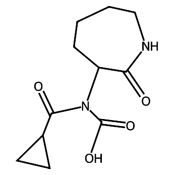 O=C1NCCCCC1N(C(=O)O)C(=O)C1CC1